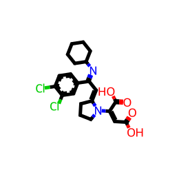 O=C(O)/C=C(\C(=O)O)N1CCCC1=CC(=NC1CCCCC1)c1ccc(Cl)c(Cl)c1